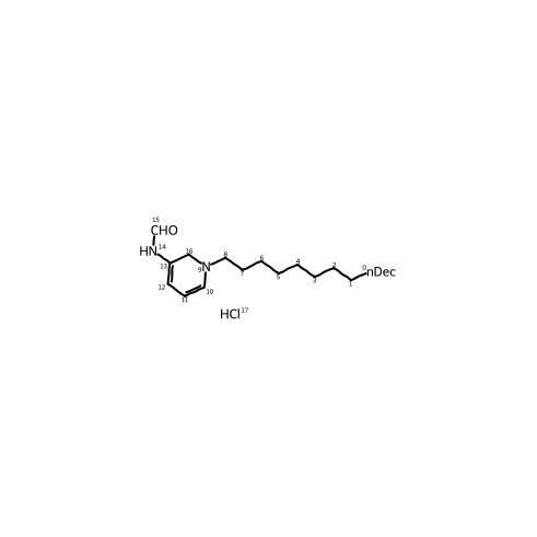 CCCCCCCCCCCCCCCCCCN1C=CC=C(NC=O)C1.Cl